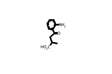 CC(CC(=O)c1ccccc1N)C(=O)O